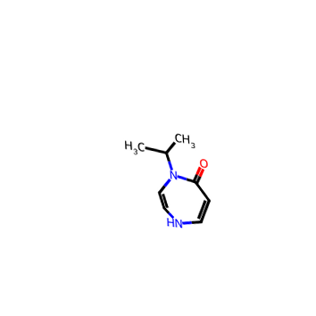 CC(C)N1C=CNC=CC1=O